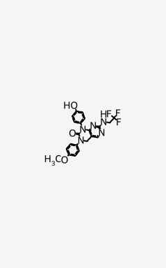 COc1ccc(N2Cc3cnc(NCC(F)(F)F)nc3N(c3ccc(O)cc3)C2=O)cc1